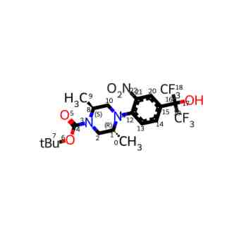 C[C@@H]1CN(C(=O)OC(C)(C)C)[C@@H](C)CN1c1ccc(C(O)(C(F)(F)F)C(F)(F)F)cc1[N+](=O)[O-]